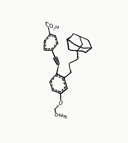 COCOc1ccc(C#Cc2ccc(C(=O)O)cc2)c(CCCC23CC4CC(CC(C4)C2)C3)c1